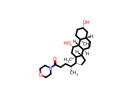 C[C@H](CCC(=O)N1CCOCC1)[C@H]1CC[C@H]2[C@@H]3CC[C@H]4C[C@@H](O)CC[C@]4(C)[C@H]3[C@@H](O)C[C@]12C